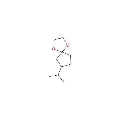 CC(C)C1CCC2(C1)OCCO2